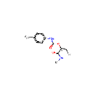 CCNC(=O)[C@H](CC(C)C)OC(=O)Nc1ccc(C(F)(F)F)cc1